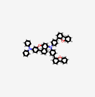 c1ccc(N(c2ccccc2)c2ccc3c(c2)Oc2ccc(N(c4ccc(-c5cccc6c5oc5ccccc56)cc4)c4ccc(-c5cccc6c5oc5ccccc56)cc4)c4cccc-3c24)cc1